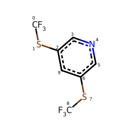 FC(F)(F)Sc1[c]ncc(SC(F)(F)F)c1